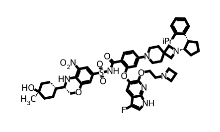 CC(C)c1ccccc1[C@@H]1CCC[C@@H]1N1CC2(CCN(c3ccc(C(=O)NS(=O)(=O)c4cc5c(c([N+](=O)[O-])c4)N[C@@H]([C@H]4CC[C@](C)(O)CC4)CO5)c(Oc4cc5c(F)c[nH]c5nc4OCCN4CCC4)c3)CC2)C1